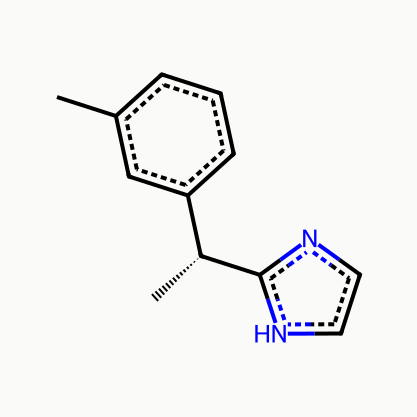 Cc1cccc([C@@H](C)c2ncc[nH]2)c1